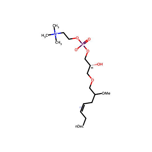 CCCCCCCCCCC/C=C\CC(COC[C@@H](O)COP(=O)([O-])OCC[N+](C)(C)C)OC